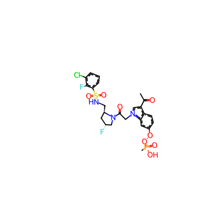 CC(=O)c1cn(CC(=O)N2C[C@H](F)C[C@H]2CNS(=O)(=O)c2cccc(Cl)c2F)c2cc(OOP(C)(=O)O)ccc12